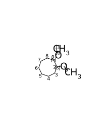 CO[C@H]1CCCCCC[C@@H]1OC